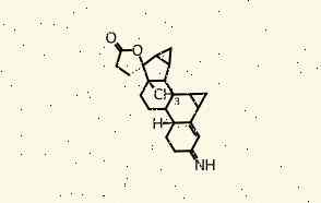 C[C@]12CCC3C(C4CC4C4=CC(=N)CC[C@@H]43)C1C1CC1[C@@]21CCC(=O)O1